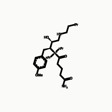 CCC[N+](CCC)(C(=O)CCCC(N)=O)[C@@H](Cc1ccc(OC)cc1)[C@H](O)CNCCC(C)C